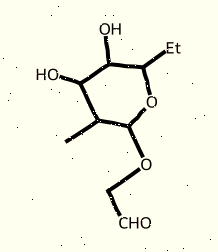 CCC1OC(OCC=O)C(C)C(O)C1O